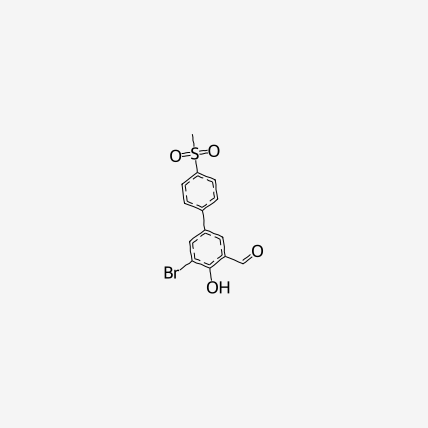 CS(=O)(=O)c1ccc(-c2cc(Br)c(O)c(C=O)c2)cc1